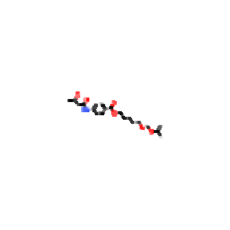 C=C(C)OCOCCCCCOC(=O)c1ccc(NC(=O)CC(C)=O)cc1